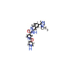 Cn1cncc1-c1ccc2cnc(NC(=O)c3ccnc(OC4CCNCC4)c3)cc2c1